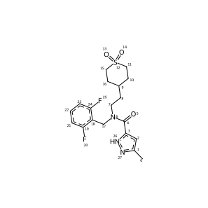 Cc1cc(C(=O)N(CCC2CCS(=O)(=O)CC2)Cc2c(F)cccc2F)[nH]n1